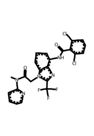 CN(C(=O)Cn1c(C(F)(F)F)nc2c(NC(=O)c3c(Cl)cccc3Cl)cccc21)c1ccccn1